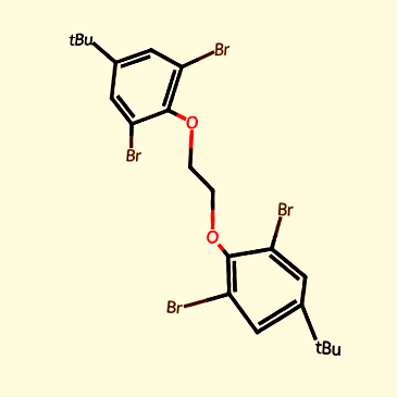 CC(C)(C)c1cc(Br)c(OCCOc2c(Br)cc(C(C)(C)C)cc2Br)c(Br)c1